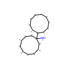 [NH]C1(C2CCCCCCCCC2)CCCCCCCCC1